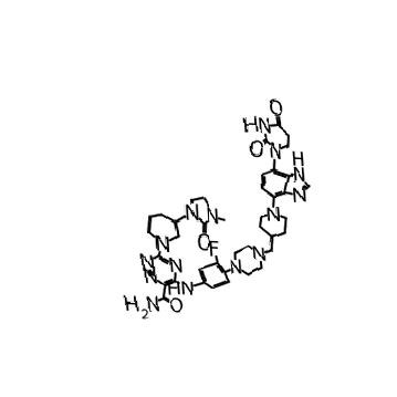 CN1CCN(C2CCCN(c3nnc(C(N)=O)c(Nc4ccc(N5CCN(CC6CCN(c7ccc(N8CCC(=O)NC8=O)c8[nH]cnc78)CC6)CC5)c(F)c4)n3)C2)C1=O